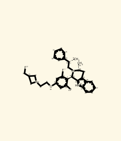 C[C@H](CN1[C@H](c2c(F)cc(OCCN3CC(CF)C3)cc2F)c2[nH]c3ccccc3c2C[C@H]1C)c1ccccc1